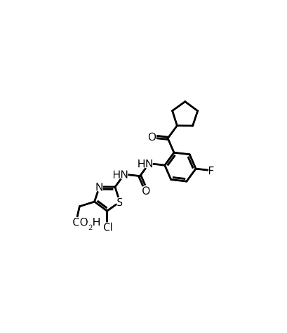 O=C(O)Cc1nc(NC(=O)Nc2ccc(F)cc2C(=O)C2CCCC2)sc1Cl